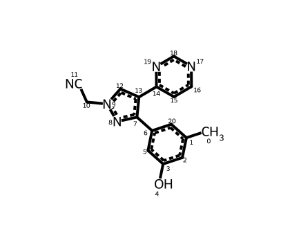 Cc1cc(O)cc(-c2nn(CC#N)cc2-c2ccncn2)c1